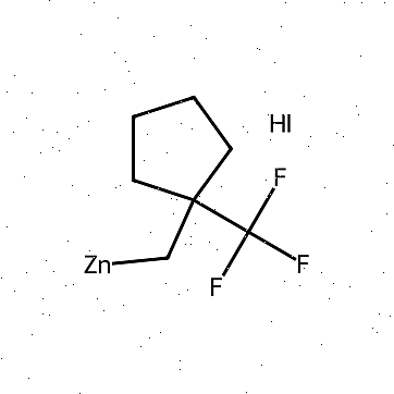 FC(F)(F)C1([CH2][Zn])CCCC1.I